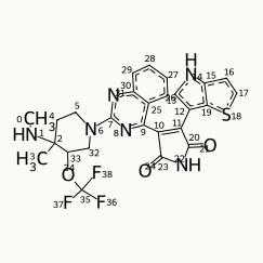 CNC1(C)CCN(c2nc(C3=C(c4c[nH]c5ccsc45)C(=O)NC3=O)c3ccccc3n2)CC1OC(F)(F)F